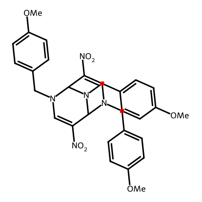 COc1ccc(CN2C=C([N+](=O)[O-])C3N(Cc4ccc(OC)cc4)C=C([N+](=O)[O-])C2N3Cc2ccc(OC)cc2)cc1